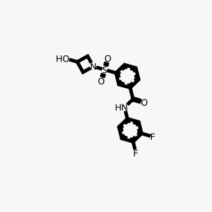 O=C(Nc1ccc(F)c(F)c1)c1cccc(S(=O)(=O)N2CC(O)C2)c1